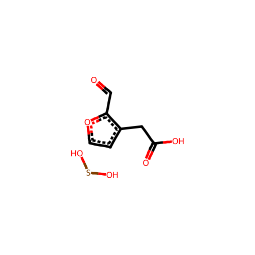 O=Cc1occc1CC(=O)O.OSO